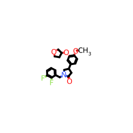 COc1ccc(C2CC(=O)N(Cc3cccc(F)c3F)C2)cc1OC1CCOC1